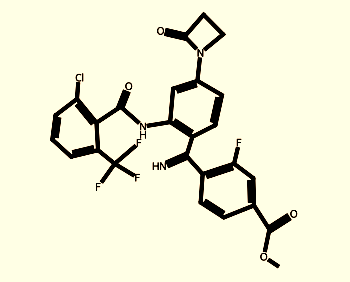 COC(=O)c1ccc(C(=N)c2ccc(N3CCC3=O)cc2NC(=O)c2c(Cl)cccc2C(F)(F)F)c(F)c1